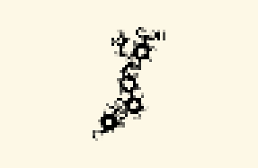 C[C@]1(c2ccc(Cl)cc2F)Oc2cccc(C3CCN(Cc4nc5ccc(C(=O)O)cc5n4CC4CCO4)CC3)c2O1